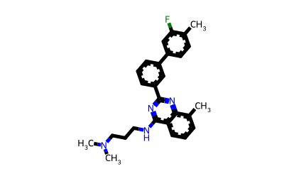 Cc1ccc(-c2cccc(-c3nc(NCCCN(C)C)c4cccc(C)c4n3)c2)cc1F